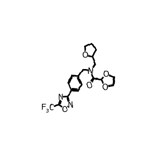 O=C(C1OCCO1)N(Cc1ccc(-c2noc(C(F)(F)F)n2)cc1)CC1CCCO1